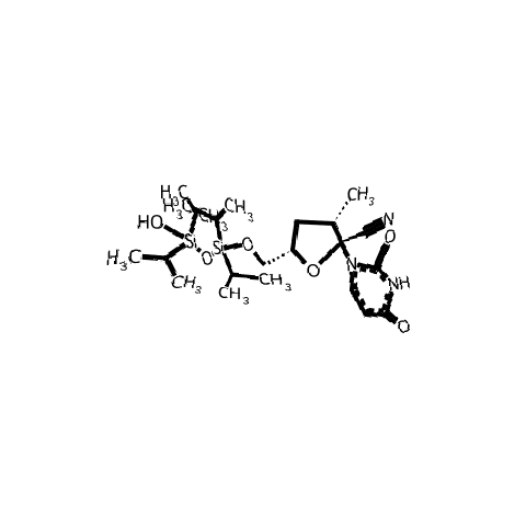 CC(C)[Si](O)(O[Si](OC[C@@H]1C[C@H](C)[C@](C#N)(n2ccc(=O)[nH]c2=O)O1)(C(C)C)C(C)C)C(C)C